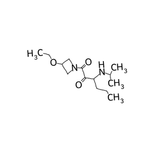 CCCC(NC(C)C)C(=O)C(=O)N1CC(OCC)C1